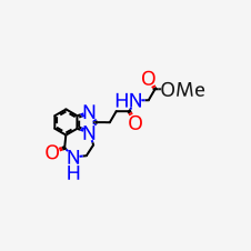 COC(=O)CNC(=O)CCc1nc2cccc3c2n1CCNC3=O